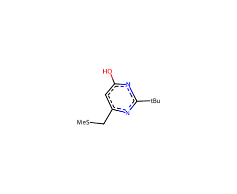 CSCc1cc(O)nc(C(C)(C)C)n1